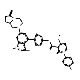 CCOc1ccn(-c2ccc(F)cc2)c(=O)c1C(=O)Nc1ccc(-c2cc(N3CCN4C(=O)CC[C@@H]4C3)cc3c2c(N)nn3C)cc1